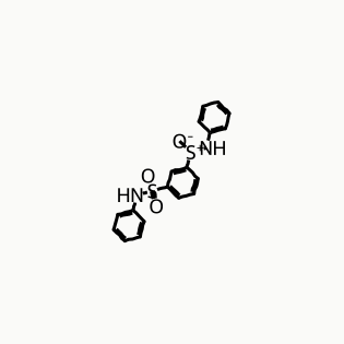 O=S(=O)(Nc1ccccc1)c1cccc([S+]([O-])Nc2ccccc2)c1